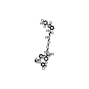 N=N/C(=C\NCCOCCOCCNCCC(=O)Nc1cccc2c1CN(C1CCC(=O)NC1=O)C2=O)[C@]1(Cc2cccc(Nc3nccs3)n2)CC[C@@H](Oc2cccc(Cl)c2F)CC1